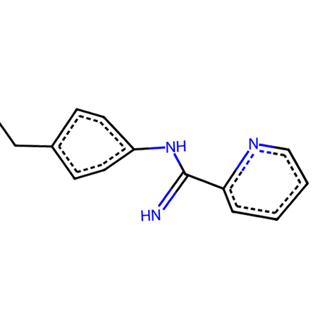 CCc1ccc(NC(=N)c2ccccn2)cc1